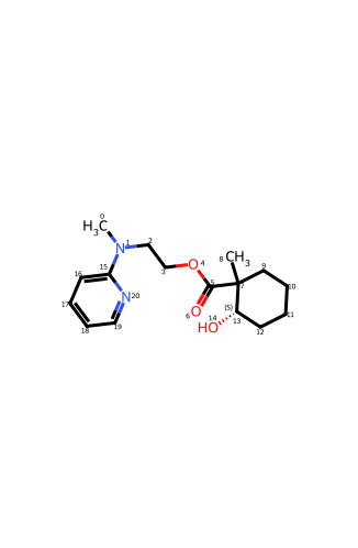 CN(CCOC(=O)C1(C)CCCC[C@@H]1O)c1ccccn1